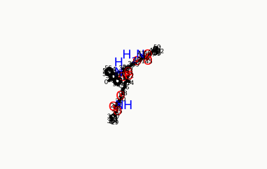 Cc1c2ccccc2c(NC2OC(C(C)CCCCOCCNC(=O)OCC[Si](C)(C)C)OOC2(C)CCCCOCC(N)C(=O)OCC[Si](C)(C)C)c2ccccc12